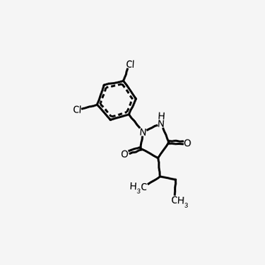 CCC(C)C1C(=O)NN(c2cc(Cl)cc(Cl)c2)C1=O